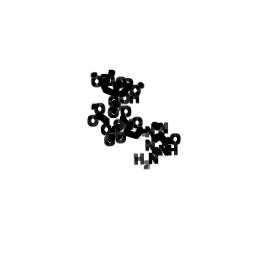 COC(=O)COP(=O)(O)OC1C[C@H](n2cnc3c(=O)[nH]c(N)nc32)O[C@@H]1COP(=O)(O)OC(CC(=O)OC)(CC(=O)OC)C(=O)OC